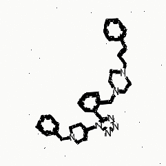 C(=Cc1ccccc1)CN1CCN(Cc2ccccc2-c2nnnn2C2CCN(Cc3ccccc3)CC2)CC1